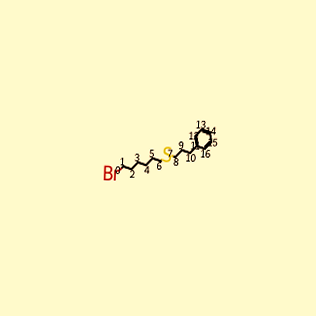 BrCCCCCCSCCCc1ccccc1